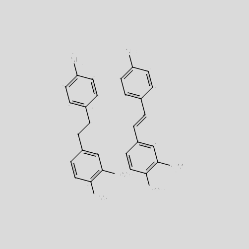 COc1ccc(C=Cc2ccc([N+](=O)[O-])cc2)cc1OC.COc1ccc(CCc2ccc(N)cc2)cc1OC